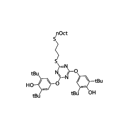 CCCCCCCCSCCCSc1nc(Oc2cc(C(C)(C)C)c(O)c(C(C)(C)C)c2)nc(Oc2cc(C(C)(C)C)c(O)c(C(C)(C)C)c2)n1